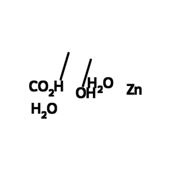 CC(=O)O.CO.O.O.[Zn]